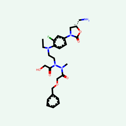 CCN(CCN(C(=O)CO)N(C)C(=O)COCc1ccccc1)c1ccc(N2C[C@H](CN)OC2=O)cc1F